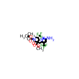 COC(=O)C1(Cc2nnc(N)cc2C(F)(F)F)C[C@@H](C(F)(F)F)CN(C(=O)OC(C)(C)C)C1=O